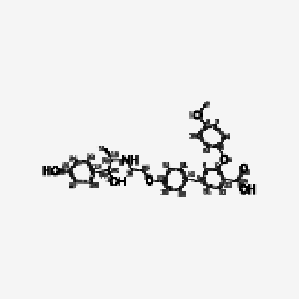 COc1ccc(Oc2cc(-c3ccc(OCCN[C@H](C)[C@@H](O)c4ccc(O)cc4)cc3)ccc2C(=O)O)cc1